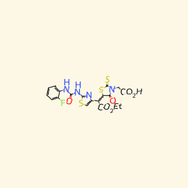 CCOC(=O)C(=C1SC(=S)N(CC(=O)O)C1=O)c1csc(NC(=O)Nc2ccccc2F)n1